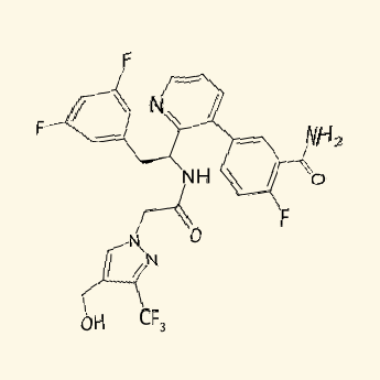 NC(=O)c1cc(-c2cccnc2[C@H](Cc2cc(F)cc(F)c2)NC(=O)Cn2cc(CO)c(C(F)(F)F)n2)ccc1F